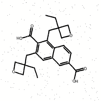 CCC1(Cc2cc3cc(C(=O)O)ccc3c(CC3(CC)COC3)c2C(=O)O)COC1